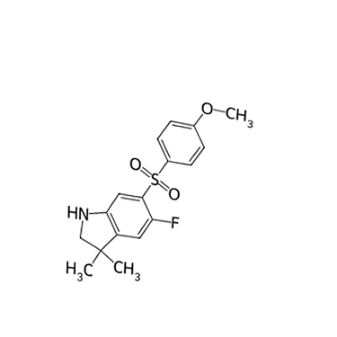 COc1ccc(S(=O)(=O)c2cc3c(cc2F)C(C)(C)CN3)cc1